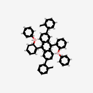 Cc1ccccc1-c1ccc2c(-c3ccccc3Oc3ccccc3)c3cc(-c4ccccc4C)ccc3c(C3=CC=CCC3Oc3ccccc3)c2c1